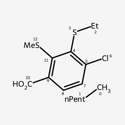 CCCCCC.CCSc1c(Cl)ccc(C(=O)O)c1SC